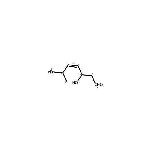 CCCC(C)/C=C\C(O)CC=O